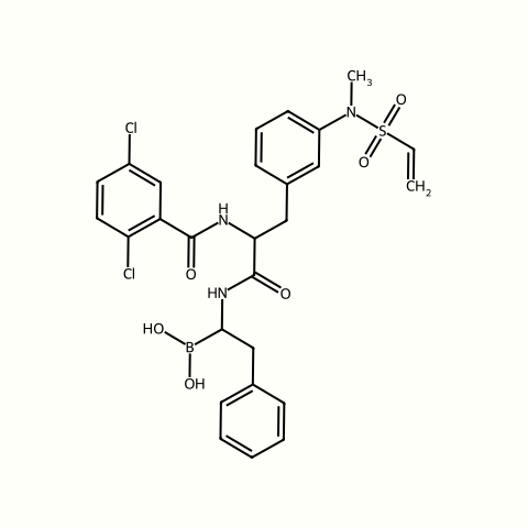 C=CS(=O)(=O)N(C)c1cccc(CC(NC(=O)c2cc(Cl)ccc2Cl)C(=O)NC(Cc2ccccc2)B(O)O)c1